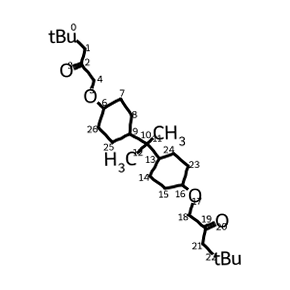 CC(C)(C)CC(=O)COC1CCC(C(C)(C)C2CCC(OCC(=O)CC(C)(C)C)CC2)CC1